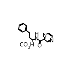 O=C(N[C@@H](CCc1ccccc1)C(=O)O)c1cnccn1